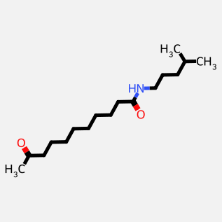 CC(=O)CCCCCCCCC(=O)NCCCC(C)C